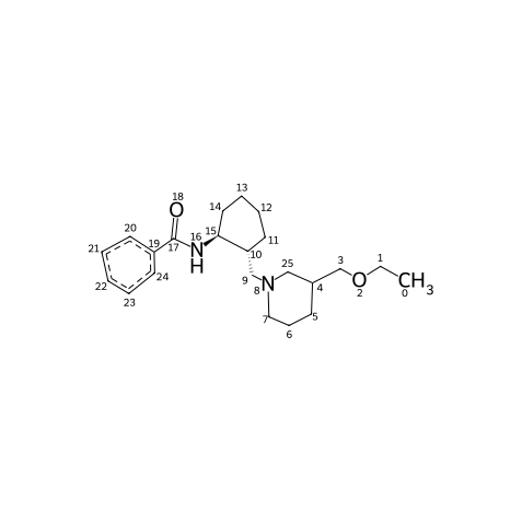 CCOCC1CCCN(C[C@H]2CCCC[C@@H]2NC(=O)c2ccccc2)C1